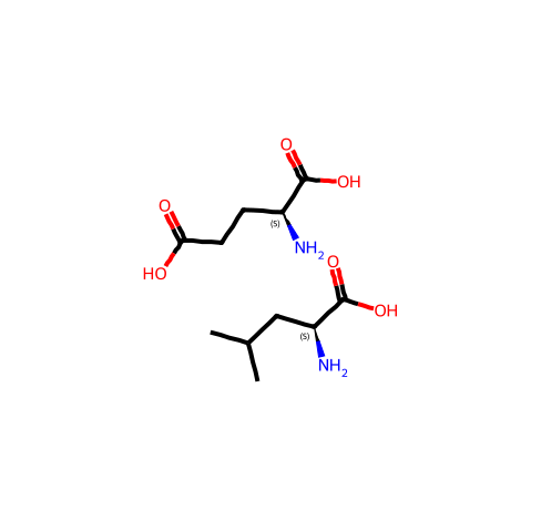 CC(C)C[C@H](N)C(=O)O.N[C@@H](CCC(=O)O)C(=O)O